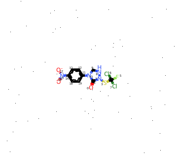 O=C1N(SC(F)(Cl)Cl)NCN1c1ccc([N+](=O)[O-])cc1